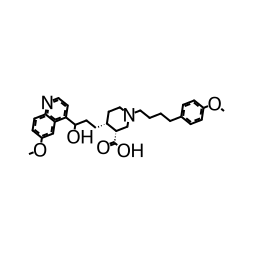 COc1ccc(CCCCN2CC[C@@H](CCC(O)c3ccnc4ccc(OC)cc34)[C@@H](C(=O)O)C2)cc1